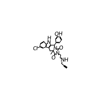 C#CCNCCN1C(=O)N2C(c3cccc(O)c3)c3[nH]c4ccc(Cl)cc4c3CC2(C)C1=O